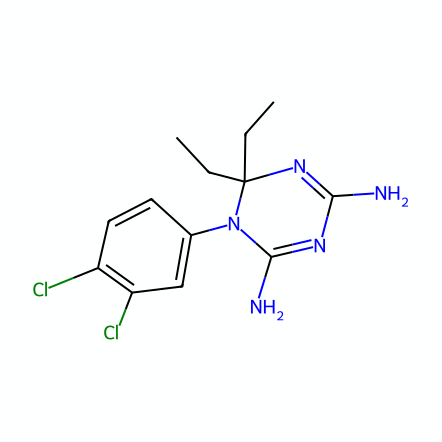 CCC1(CC)N=C(N)N=C(N)N1c1ccc(Cl)c(Cl)c1